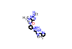 CCNc1ncc2c(n1)N(C)CCN(c1cccc(N(N)/C=C(\N)CN(C)Cc3ccccn3)c1)C2=O